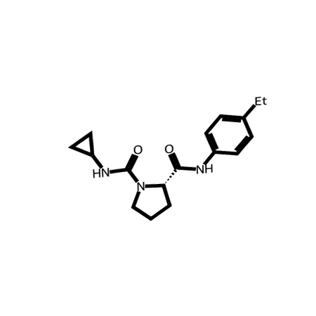 [CH2]Cc1ccc(NC(=O)[C@@H]2CCCN2C(=O)NC2CC2)cc1